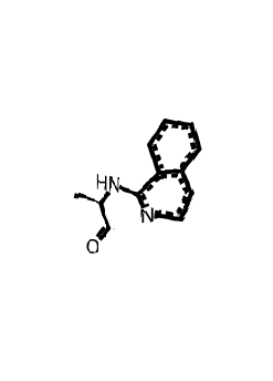 C[C@H]([C]=O)Nc1nccc2ccccc12